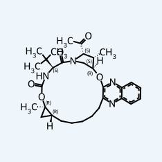 CC(=O)[C@@H]1[C@H](C)[C@@H]2CN1C(=O)[C@H](C(C)(C)C)NC(=O)O[C@]1(C)C[C@H]1CCCCCc1nc3ccccc3nc1O2